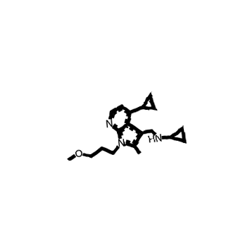 COCCCn1c(C)c(CNC2CC2)c2c(C3CC3)ccnc21